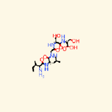 CCC(C)C(N)C(=O)N[C@@H](CC(C)C)C(=O)NCC(=O)N[C@@H](CO)C(=O)N[C@@H](CO)C(=O)O